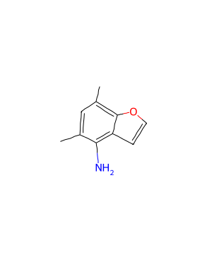 Cc1cc(C)c2occc2c1N